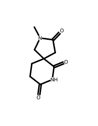 CN1CC2(CCC(=O)NC2=O)CC1=O